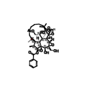 C=C(C)[C@]12C[C@@H](COC(C)=O)[C@@]34O[C@@]5(O[C@@H]1[C@@H]3[C@@H]1O[C@]1(CO)[C@@H](O)[C@@]1(O)[C@H]4[C@H]([C@H](C)[C@@H]1OC(=O)c1ccccc1)[C@H](C)CCCCCC[C@H]5O)O2